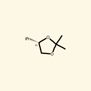 CC(C)[C@H]1COC(C)(C)O1